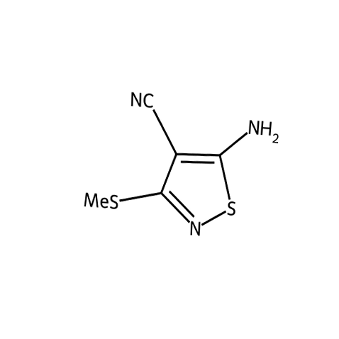 CSc1nsc(N)c1C#N